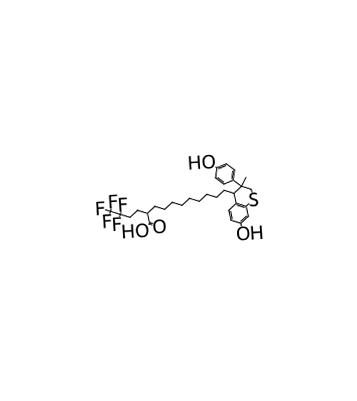 CC1(c2ccc(O)cc2)CSc2cc(O)ccc2C1CCCCCCCCCC(CCC(F)(F)C(F)(F)F)C(=O)O